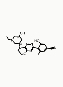 CCN1C[C@@H](O)C[C@@H](N2CCOc3cc(-c4c(C)cc(C#N)cc4O)nnc32)C1